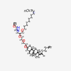 CCCCCCCC/C=C\CCCCCCCCOCC(CNCCOCC)OCCOCCO[C@H]1CC[C@@]2(C)C(=CC[C@@H]3C2CC[C@@]2(C)C3CC[C@@H]2[C@H](C)CCCC(C)C)C1